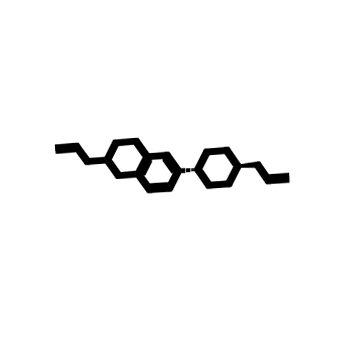 C=CCC1CCc2cc([C@H]3CC[C@H](CC=C)CC3)ccc2C1